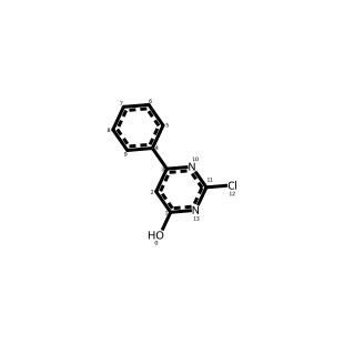 Oc1cc(-c2ccccc2)nc(Cl)n1